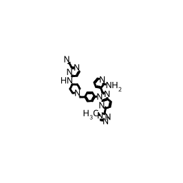 Cn1cnnc1-c1ccc2nc(-c3cccnc3N)n(-c3ccc(CN4CCC(Nc5ccnc(C#N)n5)CC4)cc3)c2n1